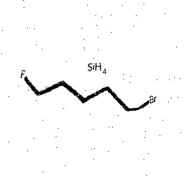 FCCCCCBr.[SiH4]